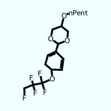 CCCCCOC1COC(C2=CCC(OC(F)(F)C(F)(F)CF)C=C2)OC1